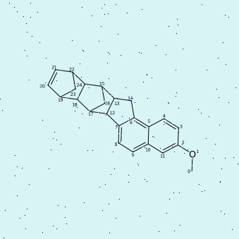 COc1ccc2c3c(ccc2c1)C1C(C3)C2CC1C1C3C=CC(C3)C21